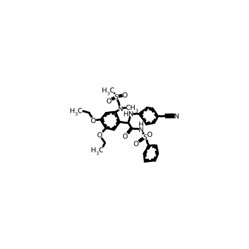 CCOc1cc(C(Nc2ccc(C#N)cc2)C(=O)NS(=O)(=O)c2ccccc2)c(N(C)S(C)(=O)=O)cc1OCC